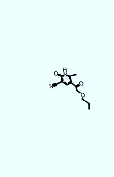 CCCOCC(=O)c1cc(C#N)c(=O)[nH]c1C